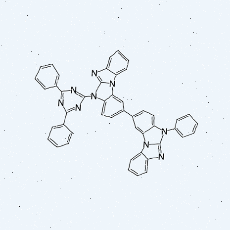 c1ccc(-c2nc(-c3ccccc3)nc(-n3c4ccc(-c5ccc6c(c5)n5c7ccccc7nc5n6-c5ccccc5)cc4n4c5ccccc5nc34)n2)cc1